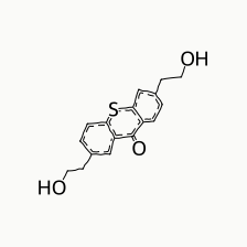 O=c1c2ccc(CCO)cc2sc2ccc(CCO)cc12